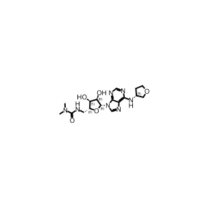 CN(C)C(=O)NC[C@H]1O[C@@H](n2cnc3c(N[C@@H]4CCOC4)ncnc32)[C@H](O)[C@@H]1O